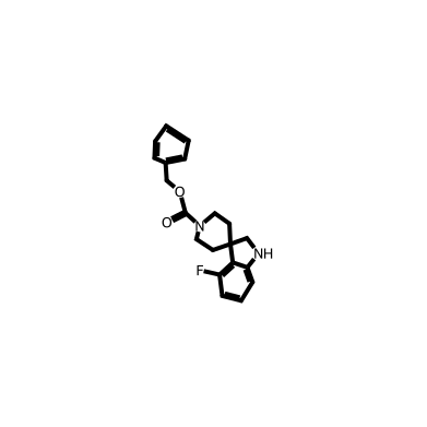 O=C(OCc1ccccc1)N1CCC2(CC1)CNc1cccc(F)c12